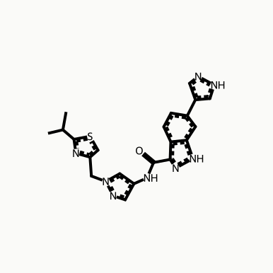 CC(C)c1nc(Cn2cc(NC(=O)c3n[nH]c4cc(-c5cn[nH]c5)ccc34)cn2)cs1